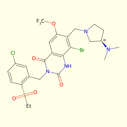 CCS(=O)(=O)c1ccc(Cl)cc1Cn1c(=O)[nH]c2c(Br)c(CN3CC[C@@H](N(C)C)C3)c(OC(F)(F)F)cc2c1=O